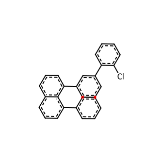 Clc1ccccc1-c1cccc(-c2cccc3cccc(-c4ccccc4)c23)c1